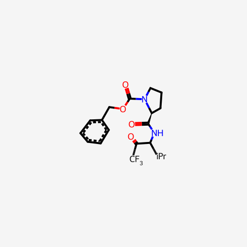 CC(C)C(NC(=O)[C@@H]1CCCN1C(=O)OCc1ccccc1)C(=O)C(F)(F)F